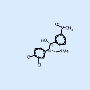 CNC[C@H](c1ccc(Cl)c(Cl)c1)[C@H](O)c1cccc([S+](C)[O-])c1